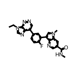 CCn1cnc2c(-c3ccc(F)c(-c4cn(C)c5cc(C(=O)NC)cnc45)c3)cnnc21